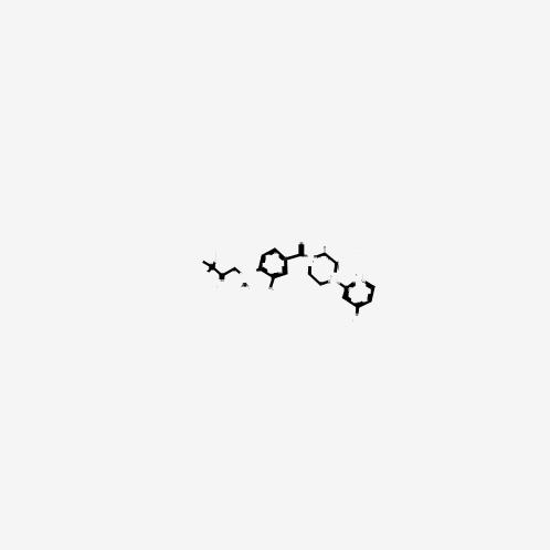 C[C@H]1[C@H](C)N(c2cc(Cl)ccn2)CCN1C(=O)c1ccc([S+]([O-])CC(=O)C(C)(F)F)c(Cl)c1